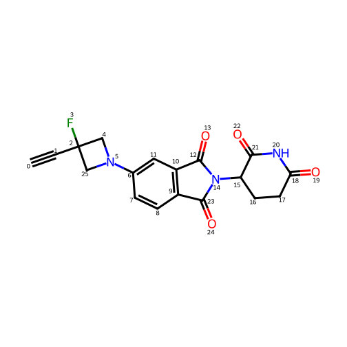 C#CC1(F)CN(c2ccc3c(c2)C(=O)N(C2CCC(=O)NC2=O)C3=O)C1